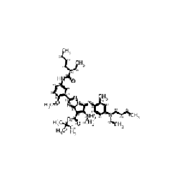 [CH2-][NH2+]C1=C(C(=O)OC(C)(C)C)c2nc(-c3cc(NC(=O)C(CC)CCCC)ccc3OC)nn2/C1=N/c1ccc(N(CC)CCCC)cc1C